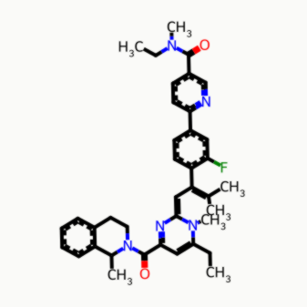 CCC1=CC(C(=O)N2CCc3ccccc3C2C)=N/C(=C/C(=C(C)C)c2ccc(-c3ccc(C(=O)N(C)CC)cn3)cc2F)N1C